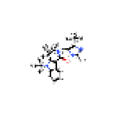 [2H]c1nc(CN2C(=O)c3c(n(C([2H])([2H])[2H])c4ccccc34)C([2H])([2H])C2([2H])[2H])c(C([2H])([2H])[2H])[nH]1